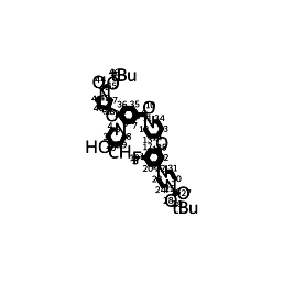 CC1(O)CCN(c2cc(C(=O)N3CCC(Oc4cc(F)cc(N5CCN(C(=O)OC(C)(C)C)CC5)c4)CC3)ccc2O[C@H]2CCN(C(=O)OC(C)(C)C)C2)CC1